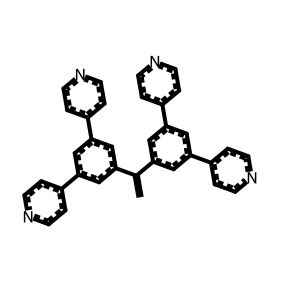 C=C(c1cc(-c2ccncc2)cc(-c2ccncc2)c1)c1cc(-c2ccncc2)cc(-c2ccncc2)c1